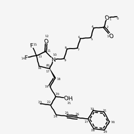 COC(=O)CCCCCCN1C(=O)C(F)(F)C[C@@H]1C=CC(O)C(C)CC#Cc1ccccc1